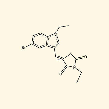 CCN1C(=O)S/C(=C\c2cn(CC)c3ccc(Br)cc23)C1=O